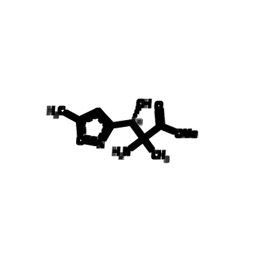 COC(=O)C(C)(N)[C@@H](O)c1cc(C)on1